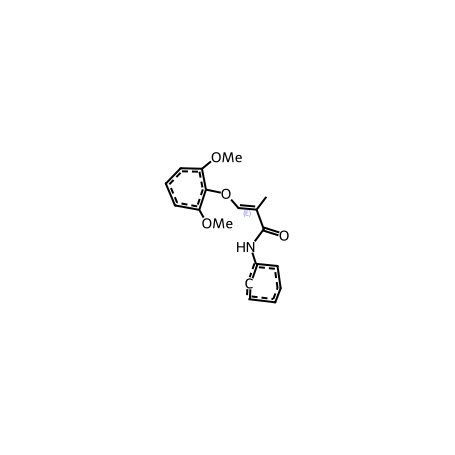 COc1cccc(OC)c1O/C=C(\C)C(=O)Nc1ccccc1